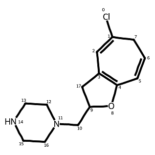 ClC1=CC2=C(C=CC1)OC(CN1CCNCC1)C2